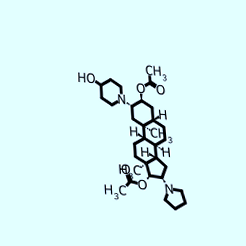 CC(=O)O[C@H]1C[C@@H]2CC[C@@H]3[C@H](CC[C@@]4(C)[C@H]3C[C@H](N3CCCC3)[C@@H]4OC(C)=O)[C@@]2(C)C[C@@H]1N1CCC(O)CC1